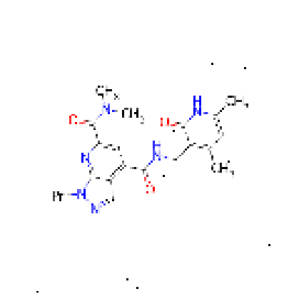 Cc1cc(C)c(CNC(=O)c2cc(C(=O)N(C)C)nc3c2cnn3C(C)C)c(=O)[nH]1